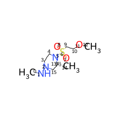 CNN1CCN(S(=O)(=O)CCOC)[C@H](C)C1